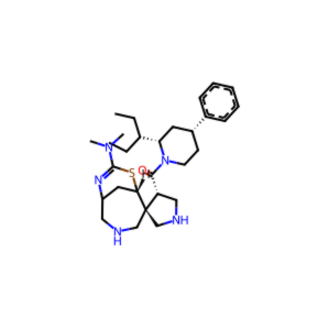 CCC(CC)[C@@H]1C[C@H](c2ccccc2)CCN1C(=O)[C@@H]1CNC[C@]12CNCC1C[C@@H]2SC(N(C)C)=N1